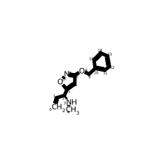 C=C[C@H](NC)c1cc(OCc2ccccc2)no1